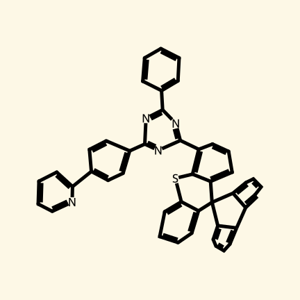 c1ccc(-c2nc(-c3ccc(-c4ccccn4)cc3)nc(-c3cccc4c3Sc3ccccc3C43c4ccccc4-c4ccccc43)n2)cc1